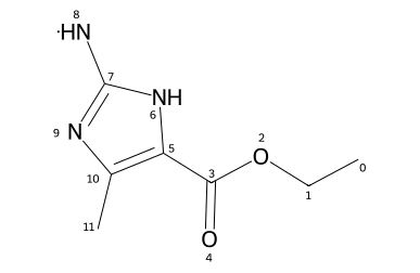 CCOC(=O)c1[nH]c([NH])nc1C